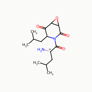 CC(C)CC1C(=O)C2OC2C(=O)N1C(=O)[C@@H](N)CC(C)C